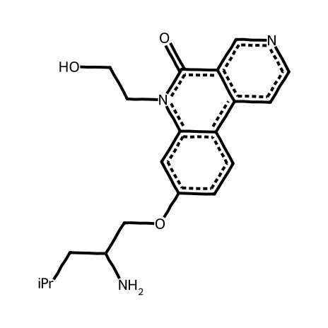 CC(C)CC(N)COc1ccc2c3ccncc3c(=O)n(CCO)c2c1